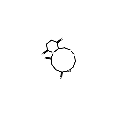 O=C1CCC(=O)N2C(=O)CCC(=O)C2CSSCCN1